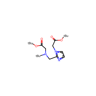 CC(C)(C)OC(=O)CN(Cc1nccn1CC(=O)OC(C)(C)C)C(C)(C)C